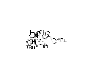 CC(C)CC1(C)C2=Cc3c(-c4cccc(C(C)(C)C)c4)cccc3[CH]2[Hf]([CH3])([CH3])[CH]2C1=Cc1c(-c3cccc(C(C)(C)C)c3)cccc12